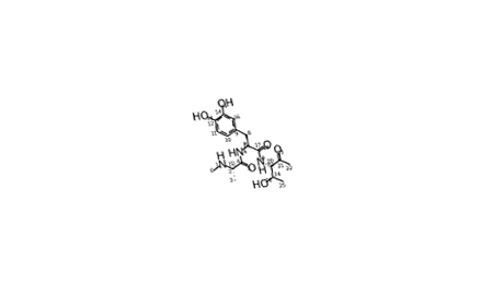 CN[C@@H](C)C(=O)N[C@@H](Cc1ccc(O)c(O)c1)C(=O)N[C@H](C(C)=O)C(C)O